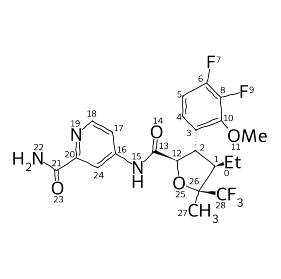 CC[C@@H]1[C@@H](c2ccc(F)c(F)c2OC)[C@H](C(=O)Nc2ccnc(C(N)=O)c2)O[C@]1(C)C(F)(F)F